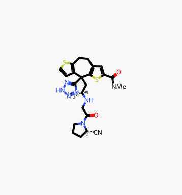 CNC(=O)c1cc2c(s1)C(C[C@@H](C)NCC(=O)N1CCC[C@H]1C#N)(c1nn[nH]n1)c1ccsc1CC2